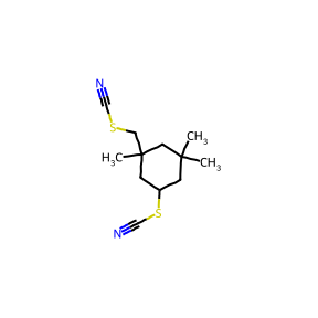 CC1(C)CC(SC#N)CC(C)(CSC#N)C1